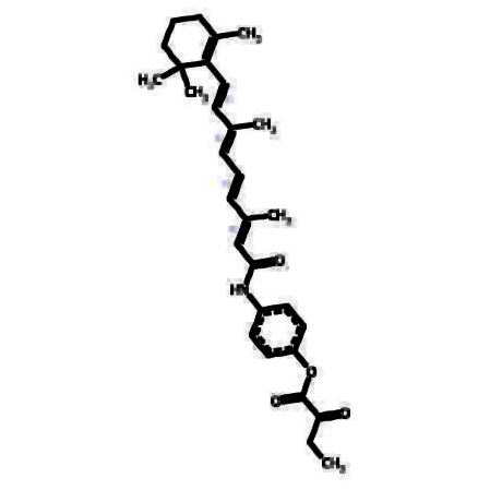 CCC(=O)C(=O)Oc1ccc(NC(=O)/C=C(C)/C=C/C=C(C)/C=C/C2=C(C)CCCC2(C)C)cc1